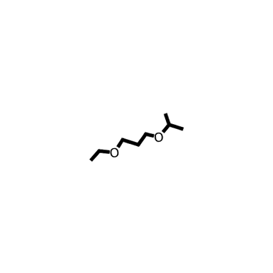 CCOCCCOC(C)C